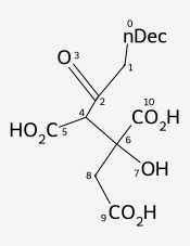 CCCCCCCCCCCC(=O)C(C(=O)O)C(O)(CC(=O)O)C(=O)O